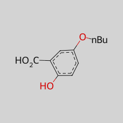 CCCCOc1ccc(O)c(C(=O)O)c1